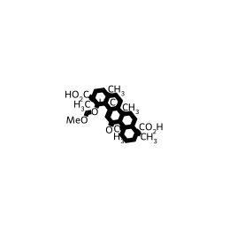 COCOC1C2C3=CC(=O)C4C5(C)CCCC(C)(C(=O)O)C5CCC4(C)C3(C)CCC2(C)CCC1(C)C(=O)O